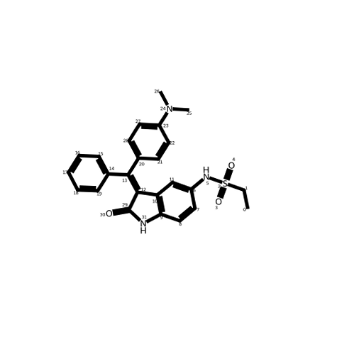 CCS(=O)(=O)Nc1ccc2c(c1)C(=C(c1ccccc1)c1ccc(N(C)C)cc1)C(=O)N2